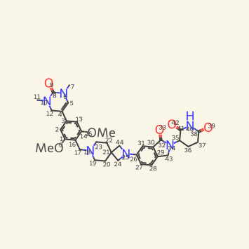 COc1cc(C2=CN(C)C(=O)N(C)C2)cc(OC)c1CN1CCC2(CC1)CN(c1ccc3c(c1)C(=O)N(C1CCC(=O)NC1=O)C3)C2